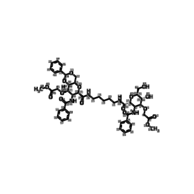 COC(=O)COC1C(NC(=O)c2ccccc2)[C@H](C(=O)NCCCCCNC(=O)[C@@H]2OC3COC(c4ccccc4)O[C@@H]3[C@H](OCC(=O)OC)C2NC(=O)c2ccccc2)O[C@@H](CO)[C@@H]1O